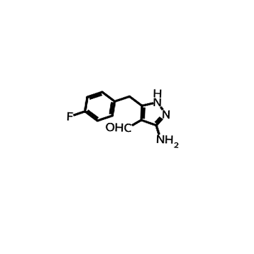 Nc1n[nH]c(Cc2ccc(F)cc2)c1C=O